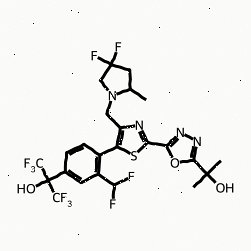 CC1CC(F)(F)CN1Cc1nc(-c2nnc(C(C)(C)O)o2)sc1-c1ccc(C(O)(C(F)(F)F)C(F)(F)F)cc1C(F)F